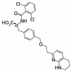 O=C(N[C@@H](Cc1ccc(COCCc2ccc3c(n2)NCCC3)cc1)C(=O)O)c1c(Cl)cccc1Cl